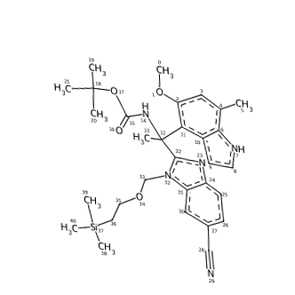 COc1cc(C)c2[nH]ccc2c1C(C)(NC(=O)OC(C)(C)C)c1nc2ccc(C#N)cc2n1COCC[Si](C)(C)C